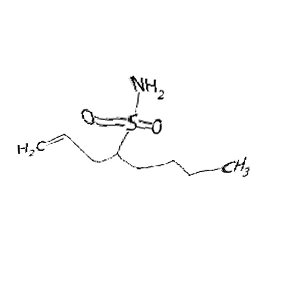 C=CCC(CCCC)S(N)(=O)=O